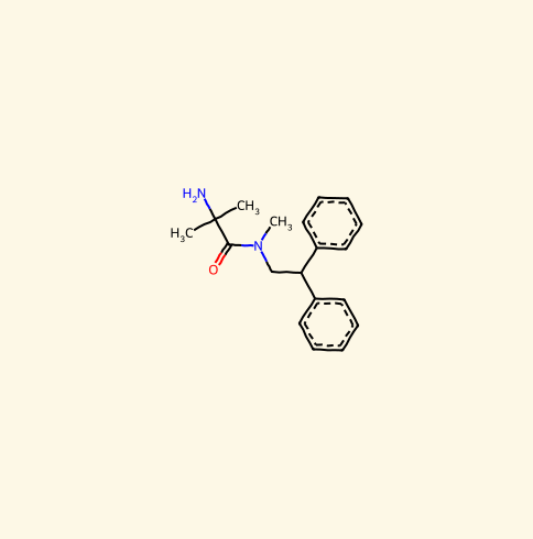 CN(CC(c1ccccc1)c1ccccc1)C(=O)C(C)(C)N